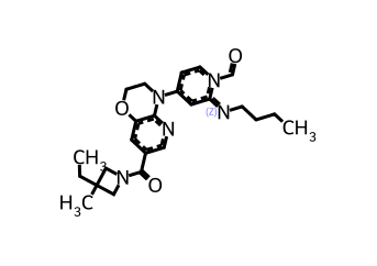 CCCC/N=c1/cc(N2CCOc3cc(C(=O)N4CC(C)(CC)C4)cnc32)ccn1C=O